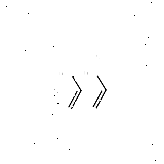 C=CCCC.C=CCCC.N.N